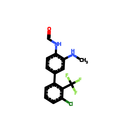 CNc1cc(-c2cccc(Cl)c2C(F)(F)F)ccc1NC=O